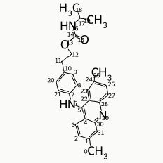 Cc1ccc2c(Nc3ccc(CCOC(=O)NC(C)C)cc3)c3cc(C)ccc3nc2c1